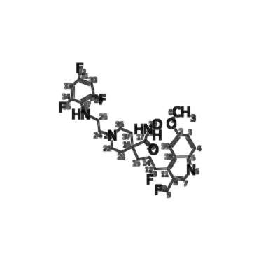 COc1ccc2ncc(CF)c([C@H](F)CCC3(C(=O)NO)CCN(CCNc4c(F)cc(F)cc4F)CC3)c2c1